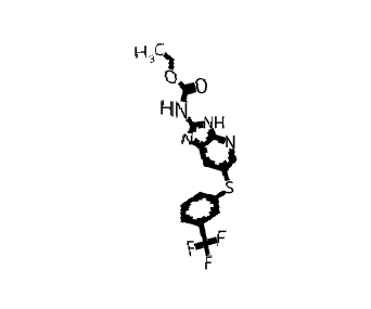 CCOC(=O)Nc1nc2cc(Sc3cccc(C(F)(F)F)c3)cnc2[nH]1